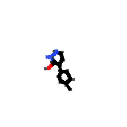 Cc1[c]cc(-c2ccn[nH]c2=O)cc1